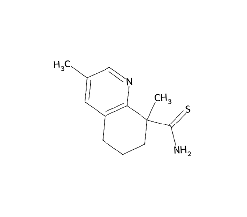 Cc1cnc2c(c1)CCCC2(C)C(N)=S